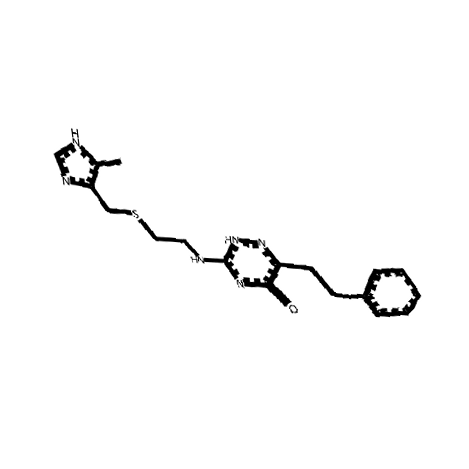 Cc1[nH]cnc1CSCCNc1nc(=O)c(CCc2ccccc2)n[nH]1